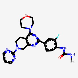 CCNC(=O)Nc1ccc(-c2nc3c(c(N4CCOCC4)n2)CCN(c2ncccn2)C3)cc1F